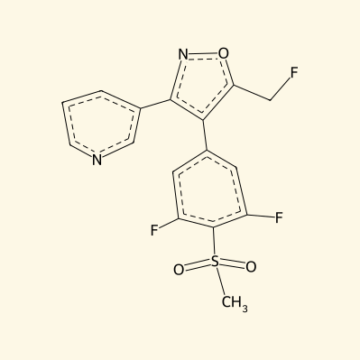 CS(=O)(=O)c1c(F)cc(-c2c(-c3cccnc3)noc2CF)cc1F